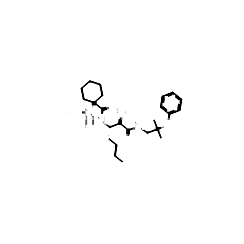 CCCC[C@H](NC(=O)C1(NO)CCCCC1)C(=O)C(=O)NCC(C)(C)Oc1ccccc1